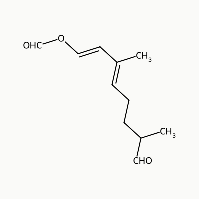 CC(C=COC=O)=CCCC(C)C=O